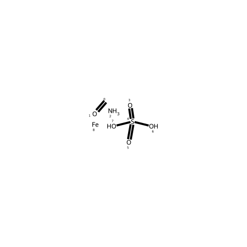 C=O.N.O=S(=O)(O)O.[Fe]